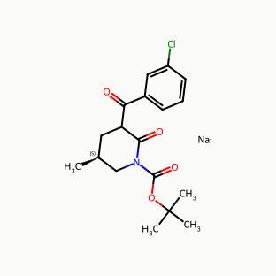 C[C@H]1CC(C(=O)c2cccc(Cl)c2)C(=O)N(C(=O)OC(C)(C)C)C1.[Na]